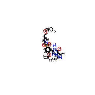 CCCc1nc(C)c2c(=O)[nH]c(-c3cc(S(=O)(=O)N4CC(CCO[N+](=O)[O-])C4)ccc3OCC)nn12